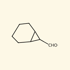 O=[C]C1C2CCCCC12